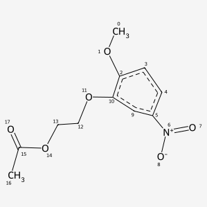 COc1ccc([N+](=O)[O-])cc1OCCOC(C)=O